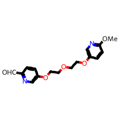 COc1ccc(OCCOCCOc2ccc(C=O)nc2)cn1